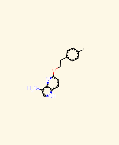 Nc1c[nH]c2ccc(OCCc3ccc(C(F)(F)F)cc3)nc12